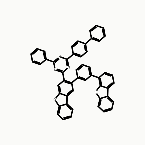 c1ccc(-c2ccc(-c3nc(-c4ccccc4)nc(-c4cc5oc6ccccc6c5cc4-c4cccc(-c5cccc6c5sc5ccccc56)c4)n3)cc2)cc1